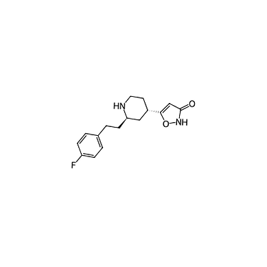 O=c1cc([C@H]2CCN[C@H](CCc3ccc(F)cc3)C2)o[nH]1